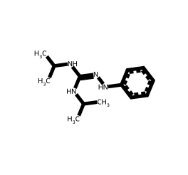 CC(C)NC(=NNc1ccccc1)NC(C)C